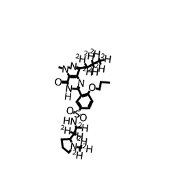 [2H]C(NS(=O)(=O)c1ccc(OCCC)c(-c2nc3c(C([2H])([2H])C([2H])([2H])C([2H])([2H])[2H])nn(C)c3c(=O)[nH]2)c1)C([2H])([2H])C1CCCN1C([2H])([2H])[2H]